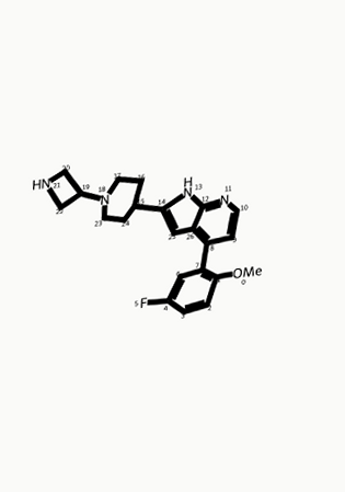 COc1ccc(F)cc1-c1ccnc2[nH]c(C3CCN(C4CNC4)CC3)cc12